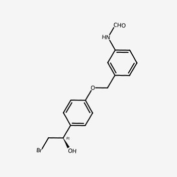 O=CNc1cccc(COc2ccc([C@@H](O)CBr)cc2)c1